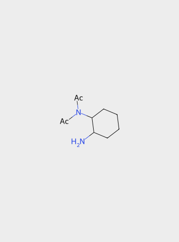 CC(=O)N(C(C)=O)C1CCCCC1N